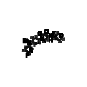 CCN(c1ccc(-n2ncc(NC[C@]3(F)CCCOC3)c(Cl)c2=O)cc1)c1ccc(F)nc1